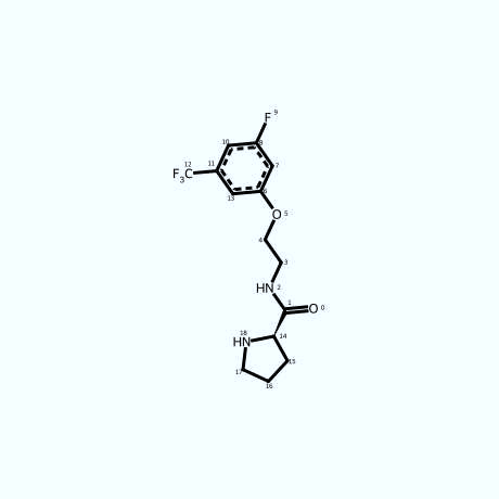 O=C(NCCOc1cc(F)cc(C(F)(F)F)c1)[C@H]1CCCN1